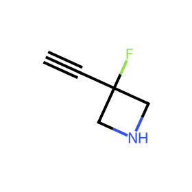 C#CC1(F)CNC1